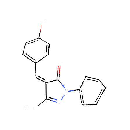 O=C(O)C1=NN(c2ccccc2)C(=O)C1=Cc1ccc(O)cc1